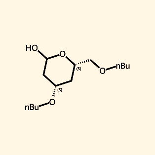 CCCCOC[C@@H]1C[C@H](OCCCC)CC(O)O1